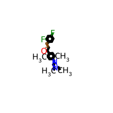 CCN(C)C=Nc1cc(C)c(C(=O)CSc2ccc(F)cc2F)cc1C